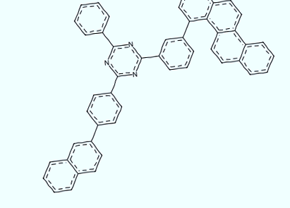 c1ccc(-c2nc(-c3ccc(-c4ccc5ccccc5c4)cc3)nc(-c3cccc(-c4cncc5ccc6c7ccccc7ccc6c45)c3)n2)cc1